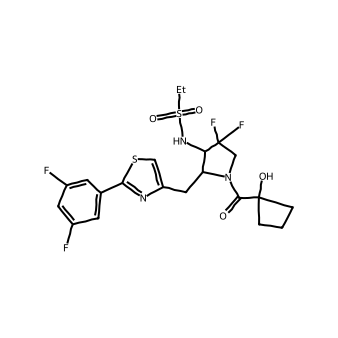 CCS(=O)(=O)NC1C(Cc2csc(-c3cc(F)cc(F)c3)n2)N(C(=O)C2(O)CCC2)CC1(F)F